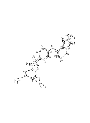 CCOC[C@H](CC(C)C)NS(=O)(=O)c1ccc(Cc2nccc3[nH]c(C)nc23)cc1